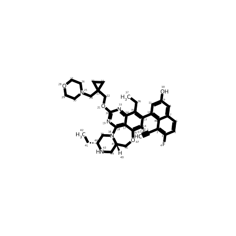 C#Cc1c(F)ccc2cc(O)cc(-c3c(F)c4c5c(nc(OCC6(CN7CCOCC7)CC6)nc5c3CC)N3C[C@@H](CC)NC[C@H]3CO4)c12